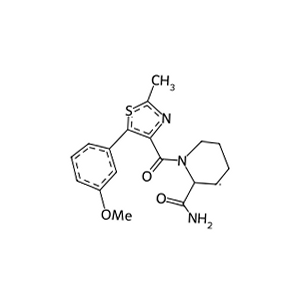 COc1cccc(-c2sc(C)nc2C(=O)N2CCC[CH]C2C(N)=O)c1